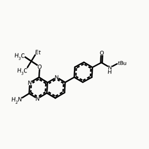 CCC(C)(C)Oc1nc(N)nc2ccc(-c3ccc(C(=O)NC(C)(C)C)cc3)nc12